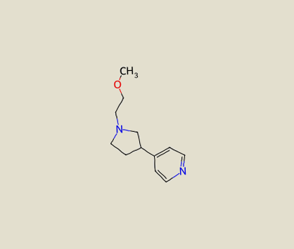 COCCN1CCC(c2ccncc2)C1